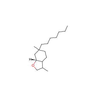 CCCCCCCC1(C)CCC2C(C)CO[C@@H]2C1